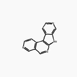 c1cc2c(cn1)cnc1[nH]c3cnccc3c12